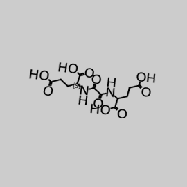 O=C(O)CCC(NC(=O)C(=O)N[C@@H](CCC(=O)O)C(=O)O)C(=O)O